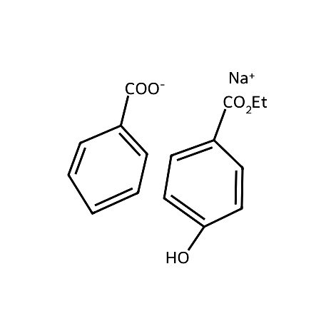 CCOC(=O)c1ccc(O)cc1.O=C([O-])c1ccccc1.[Na+]